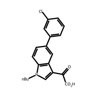 CCCCn1cc(C(=O)C(=O)O)c2cc(-c3cccc(Cl)c3)ccc21